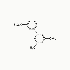 CCOC(=O)c1cccc(-c2cc(C)cc(OC)c2)c1